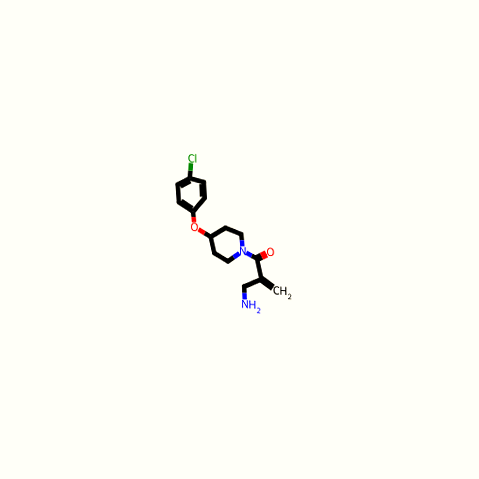 C=C(CN)C(=O)N1CCC(Oc2ccc(Cl)cc2)CC1